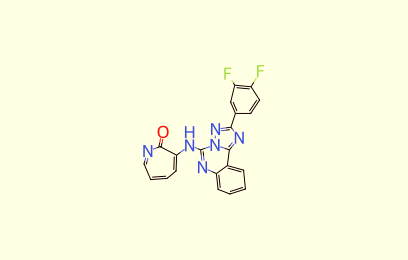 O=c1nccccc1Nc1nc2ccccc2c2nc(-c3ccc(F)c(F)c3)nn12